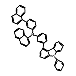 c1ccc(-n2c3ccccc3c3c(-c4cccc(N(c5cccc(-c6cccc7ccccc67)c5)c5cccc6ccccc56)c4)cccc32)cc1